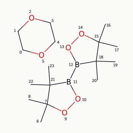 C1COCCO1.CC1(C)OOB(B2OOC(C)(C)C2(C)C)C1(C)C